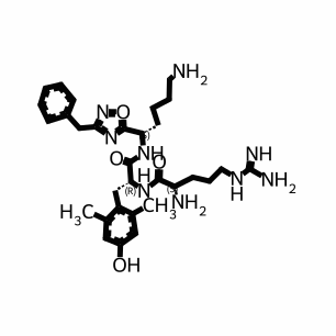 Cc1cc(O)cc(C)c1C[C@@H](NC(=O)[C@@H](N)CCCNC(=N)N)C(=O)N[C@@H](CCCCN)c1nc(Cc2ccccc2)no1